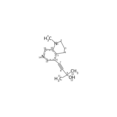 CN1CCCc2c(C#CC(C)(C)O)cncc21